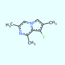 Cc1cn2cc(C)c(F)c2c(C)n1